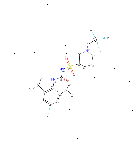 CC(C)c1cc(F)cc(C(C)C)c1NC(=O)NS(=O)(=O)C1CCCN(CC(F)(F)F)C1